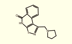 O=c1[nH]c2snc(CN3CCCC3)c2c2ccccc12